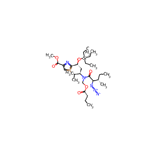 CCCC(=O)OCN(C(=O)C(N=[N+]=[N-])[C@@H](C)CC)[C@H](C[C@@H](O[Si](CC)(CC)CC)c1nc(C(=O)OC)cs1)C(C)C